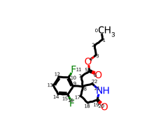 CCCCOC(=O)CC1(c2c(F)cccc2F)CCC(=O)NC1